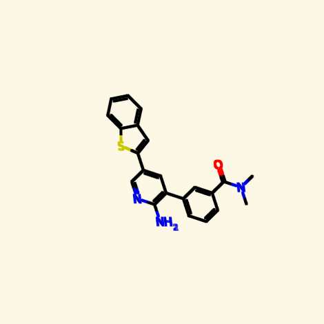 CN(C)C(=O)c1cccc(-c2cc(-c3cc4ccccc4s3)cnc2N)c1